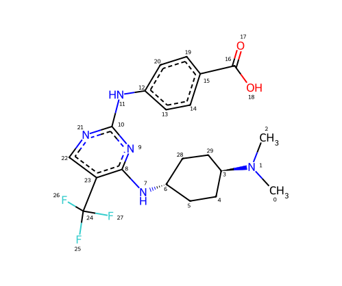 CN(C)[C@H]1CC[C@H](Nc2nc(Nc3ccc(C(=O)O)cc3)ncc2C(F)(F)F)CC1